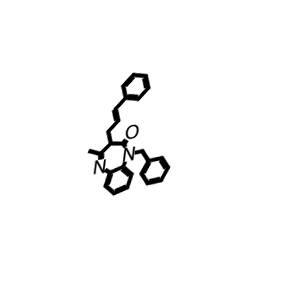 CC1=Nc2ccccc2N(Cc2ccccc2)C(=O)C1CC=Cc1ccccc1